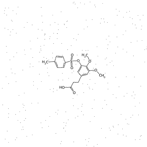 COc1cc(CCC(=O)O)cc(OS(=O)(=O)c2ccc(C)cc2)c1OC